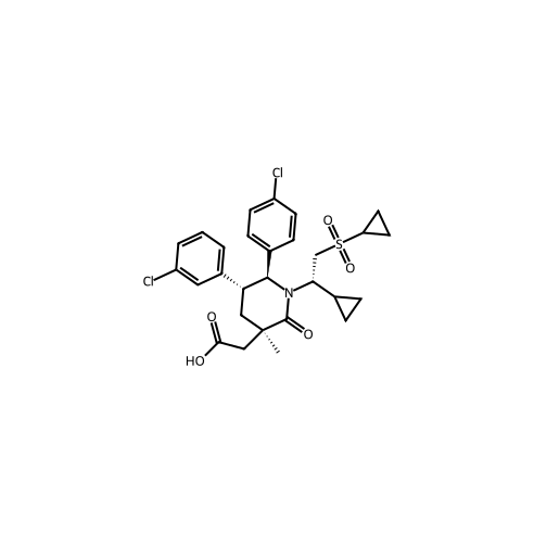 C[C@]1(CC(=O)O)C[C@H](c2cccc(Cl)c2)[C@@H](c2ccc(Cl)cc2)N([C@H](CS(=O)(=O)C2CC2)C2CC2)C1=O